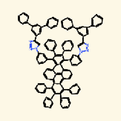 c1ccc(-c2cc(-c3ccccc3)cc(-c3cn(-c4cccc(-c5c(-c6ccccc6)c(-c6ccccc6)c(-c6cccc(-n7cc(-c8cc(-c9ccccc9)cc(-c9ccccc9)c8)nn7)c6)c6c7cccc8c9c(-c%10ccccc%10)c(-c%10ccccc%10)c(-c%10ccccc%10)c(-c%10ccccc%10)c9c9cccc(c56)c9c87)c4)nn3)c2)cc1